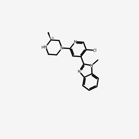 C[C@H]1CN(c2cc(-c3nc4ccccc4n3C)c(Cl)cn2)CCN1